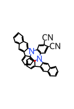 N#Cc1cc(-n2c3ccccc3c3cc4ccccc4cc32)c(-n2c3ccccc3c3cc4ccccc4cc32)cc1C#N